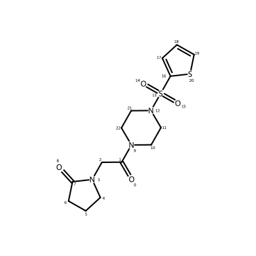 O=C(CN1CCCC1=O)N1CCN(S(=O)(=O)c2cccs2)CC1